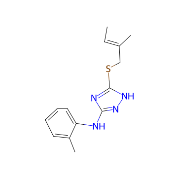 CC=C(C)CSc1nc(Nc2ccccc2C)n[nH]1